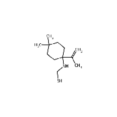 C=C(C)C1(NCS)CCC(C)(C)CC1